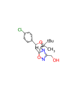 CC(C)(C)[Si](C)(C)OC(Cc1nc(CO)no1)c1ccc(Cl)cc1